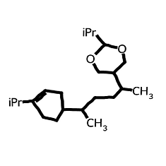 CC(C)C1=CCC(C(C)CCC(C)C2COC(C(C)C)OC2)CC1